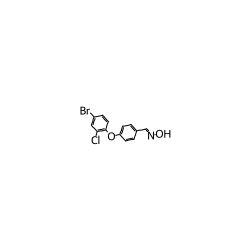 ON=Cc1ccc(Oc2ccc(Br)cc2Cl)cc1